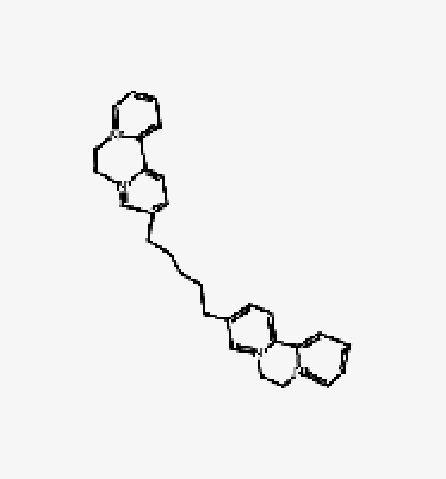 c1cc[n+]2c(c1)-c1ccc(CCCCCc3ccc4[n+](c3)CC[n+]3ccccc3-4)c[n+]1CC2